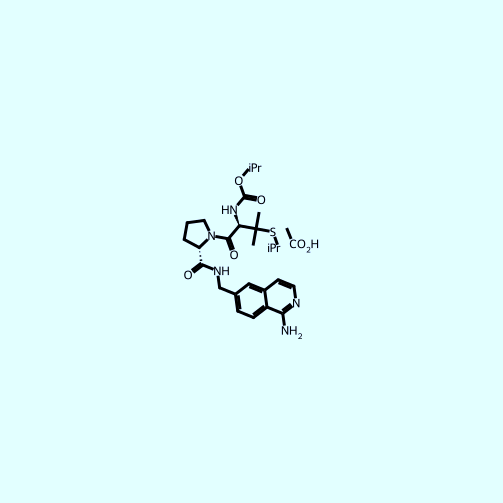 CC(=O)O.CC(C)OC(=O)N[C@H](C(=O)N1CCC[C@H]1C(=O)NCc1ccc2c(N)nccc2c1)C(C)(C)SC(C)C